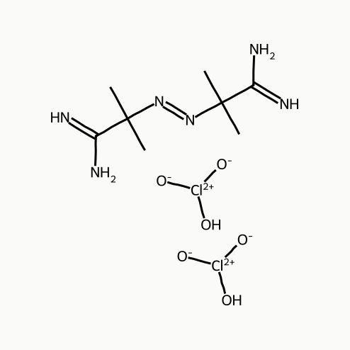 CC(C)(N=NC(C)(C)C(=N)N)C(=N)N.[O-][Cl+2]([O-])O.[O-][Cl+2]([O-])O